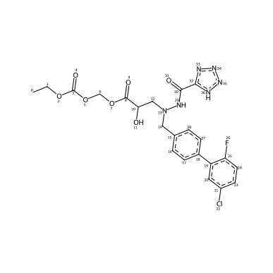 CCOC(=O)OCOC(=O)C(O)CN(Cc1ccc(-c2cc(Cl)ccc2F)cc1)NC(=O)c1nnn[nH]1